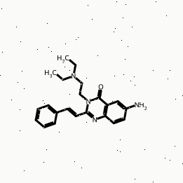 CCN(CC)CCn1c(/C=C/c2ccccc2)nc2ccc(N)cc2c1=O